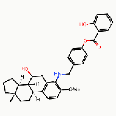 COc1ccc2c(c1NCc1ccc(OC(=O)c3ccccc3O)cc1)C[C@H](O)[C@@H]1[C@@H]2CC[C@]2(C)CCC[C@@H]12